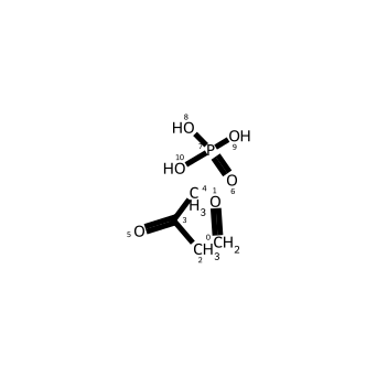 C=O.CC(C)=O.O=P(O)(O)O